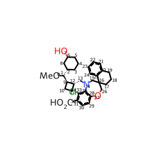 COC([C@H]1CCC[C@H](O)C1)[C@@H]1CC[C@H]1CN1CC2(CCCc3ccccc32)COc2ccc(C(=O)O)c(Cl)c21